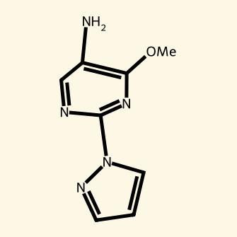 COc1nc(-n2cccn2)ncc1N